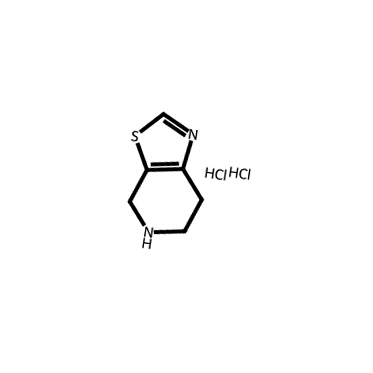 Cl.Cl.c1nc2c(s1)CNCC2